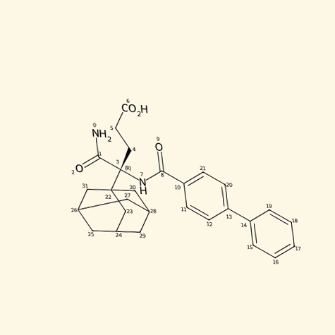 NC(=O)[C@](CCC(=O)O)(NC(=O)c1ccc(-c2ccccc2)cc1)C12CC3CC(CC(C3)C1)C2